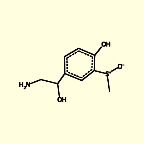 C[S+]([O-])c1cc(C(O)CN)ccc1O